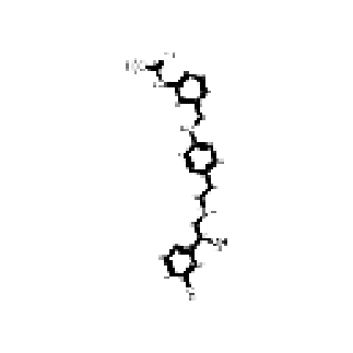 CC(=O)Oc1cccc(COc2ccc(CCNC[C@@H](O)c3cccc(Cl)c3)cc2)c1